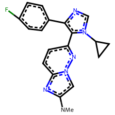 CNc1cn2nc(-c3c(-c4ccc(F)cc4)ncn3C3CC3)ccc2n1